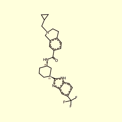 O=C(N[C@@H]1CCC[C@H](c2nc3cc(C(F)(F)F)ccc3[nH]2)C1)c1ccc2c(c1)CN(CC1CC1)CC2